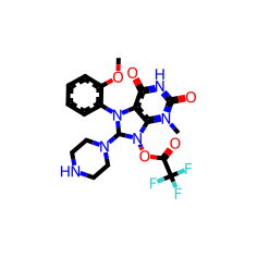 COc1ccccc1N1c2c(n(C)c(=O)[nH]c2=O)N(OC(=O)C(F)(F)F)C1N1CCNCC1